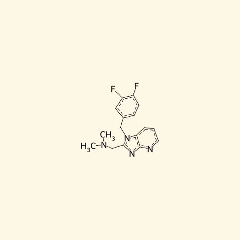 CN(C)Cc1nc2ncccc2n1Cc1ccc(F)c(F)c1